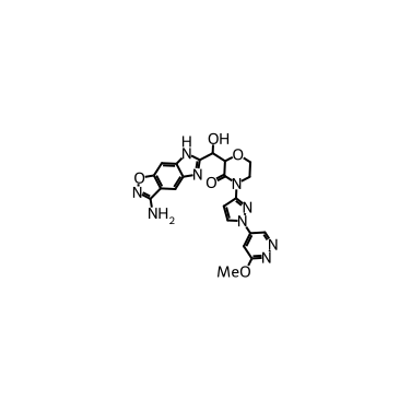 COc1cc(-n2ccc(N3CCOC(C(O)c4nc5cc6c(N)noc6cc5[nH]4)C3=O)n2)cnn1